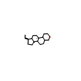 C/C=C1/C[C@@H](C)[C@H]2[C@@H]3CC[C@@H]4C[C@](C)(O)CC[C@@H]4[C@H]3CC[C@]12C